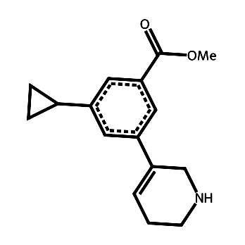 COC(=O)c1cc(C2=CCCNC2)cc(C2CC2)c1